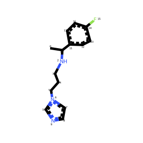 CC(NCCCn1ccnc1)c1ccc(F)cc1